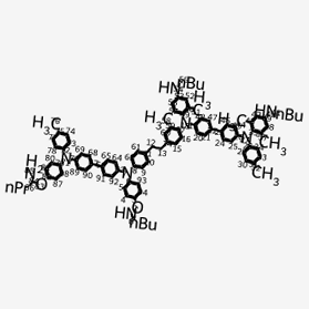 CCCCNOc1ccc(N(c2ccc(CCc3ccc(N(c4ccc(-c5ccc(N(c6ccc(C)cc6)c6c(C)cc(NCCCC)cc6C)cc5)cc4)c4c(C)cc(NCCCC)cc4C)cc3)cc2)c2ccc(-c3ccc(N(c4ccc(C)cc4)c4ccc(OC(N)CCC)cc4)cc3)cc2)cc1